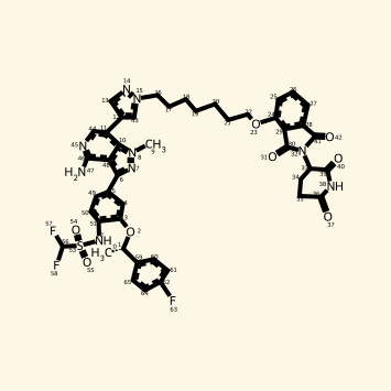 C[C@H](Oc1cc(-c2nn(C)c3c(-c4cnn(CCCCCCCOc5cccc6c5C(=O)N(C5CCC(=O)NC5=O)C6=O)c4)cnc(N)c23)ccc1NS(=O)(=O)C(F)F)c1ccc(F)cc1